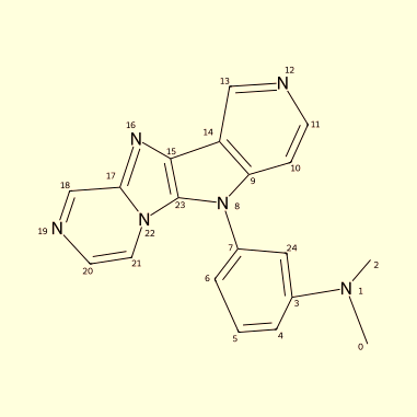 CN(C)c1cccc(-n2c3ccncc3c3nc4cnccn4c32)c1